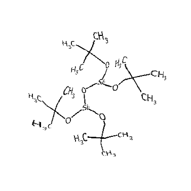 CC(C)(C)O[Si](O[Si](OC(C)(C)C)OC(C)(C)C)OC(C)(C)C